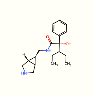 CCC(CC)[C@@](O)(C(=O)NC[C@H]1C2CNC[C@@H]21)c1ccccc1